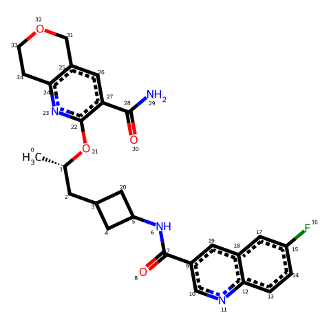 C[C@@H](CC1CC(NC(=O)c2cnc3ccc(F)cc3c2)C1)Oc1nc2c(cc1C(N)=O)COCC2